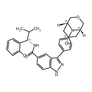 CC(C)[C@H](NC(=O)c1ccc2[nH]nc(-c3ccc(N4[C@@H]5COC[C@H]4C[C@@H](O)C5)cc3)c2c1)c1ccccc1Cl